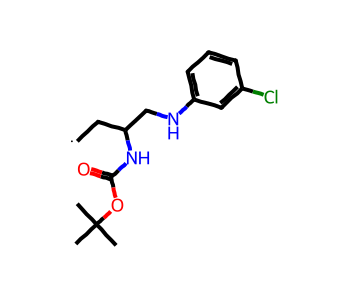 [CH2]CC(CNc1cccc(Cl)c1)NC(=O)OC(C)(C)C